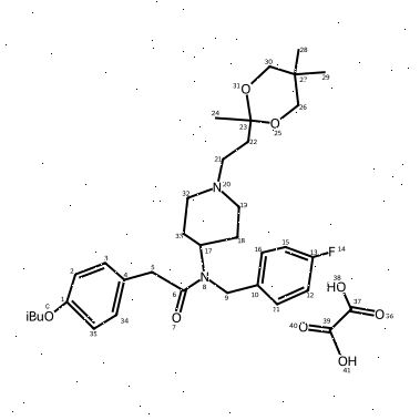 CC(C)COc1ccc(CC(=O)N(Cc2ccc(F)cc2)C2CCN(CCC3(C)OCC(C)(C)CO3)CC2)cc1.O=C(O)C(=O)O